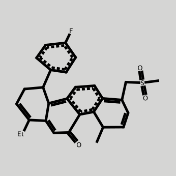 CCC1=CCC(c2ccc(F)cc2)C2=c3ccc4c(c3C(=O)C=C12)C(C)C=CC=4CS(C)(=O)=O